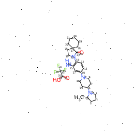 C[C@H]1CCCN1C1CCN(c2ccc(N3CCC4(CCCCC4)C3=O)c(N)c2)CC1.O=C(O)C(F)(F)F